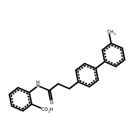 Cc1cccc(-c2ccc(CCC(=O)Nc3ccccc3C(=O)O)cc2)c1